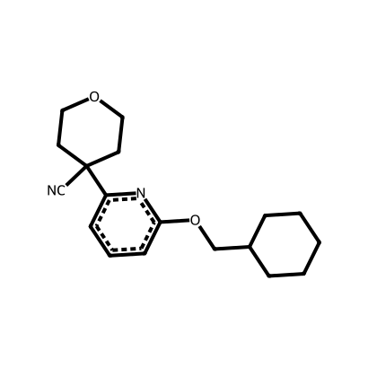 N#CC1(c2cccc(OCC3CCCCC3)n2)CCOCC1